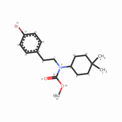 CC1(C)CCC(N(CCc2ccc(Br)cc2)C(=O)OC(C)(C)C)CC1